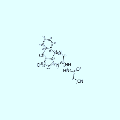 N#CCC(=O)NNC1=Nc2sc(Cl)cc2C(c2ccccc2Cl)=NC1